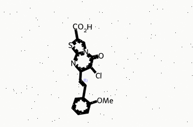 COc1ccccc1/C=C/c1nc2sc(C(=O)O)cn2c(=O)c1Cl